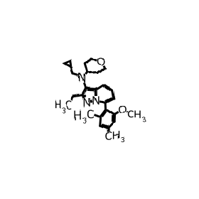 CCc1nn2c(-c3c(C)cc(C)cc3OC)cccc2c1N(CC1CC1)C1CCOCC1